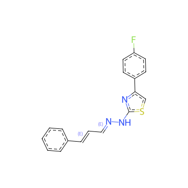 Fc1ccc(-c2csc(N/N=C/C=C/c3ccccc3)n2)cc1